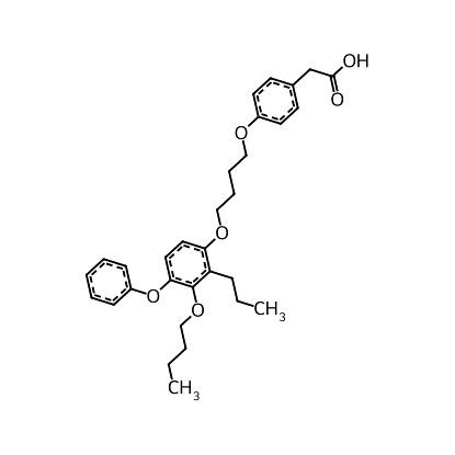 CCCCOc1c(Oc2ccccc2)ccc(OCCCCOc2ccc(CC(=O)O)cc2)c1CCC